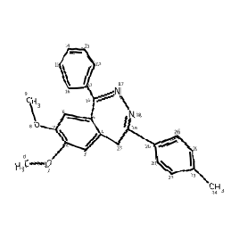 COc1cc2c(cc1OC)C(c1ccccc1)=NN=C(c1ccc(C)cc1)C2